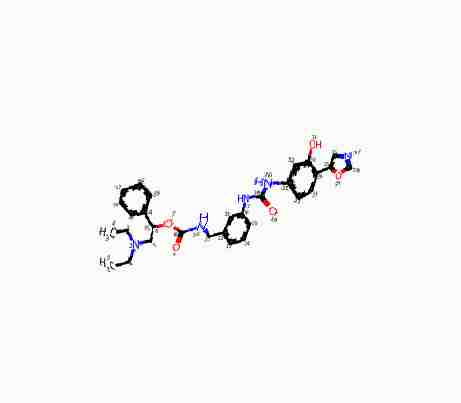 CCN(CC)C[C@H](OC(=O)NCc1cccc(NC(=O)Nc2ccc(-c3cnco3)c(O)c2)c1)c1ccccc1